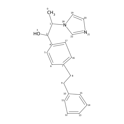 CC(C(O)c1ccc(CCc2ccccc2)cc1)n1ccnc1